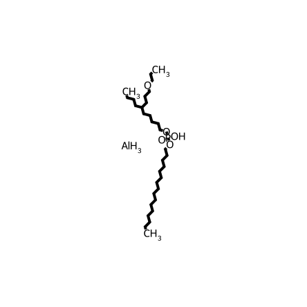 CCCCCCCCCCCCCCCCOP(=O)(O)OCCCCCC(CCCC)CCCOCCC.[AlH3]